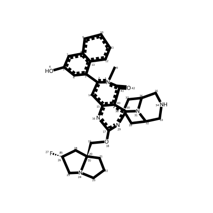 Cn1c(-c2cc(O)cc3ccccc23)cc2nc(OC[C@@]34CCCN3C[C@H](F)C4)nc(N3C4CNCC3COC4)c2c1=O